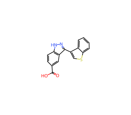 O=C(O)c1ccc2[nH]nc(-c3csc4ccccc34)c2c1